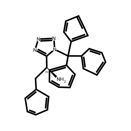 N[C@@H](Cc1ccccc1)c1nnnn1C(c1ccccc1)(c1ccccc1)c1ccccc1